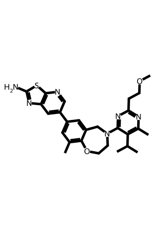 COCCc1nc(C)c(C(C)C)c(N2CCOc3c(C)cc(-c4cnc5sc(N)nc5c4)cc3C2)n1